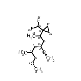 C=B[C@@H](CC(C)COC)CC(C)C1(C(F)F)CC1